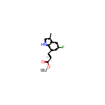 Cc1c[nH]c2c(/C=C/C(=O)OC(C)(C)C)cc(F)cc12